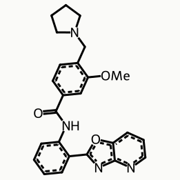 COc1cc(C(=O)Nc2ccccc2-c2nc3ncccc3o2)ccc1CN1CCCC1